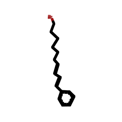 BrCCCCCCC=CC=Cc1ccccc1